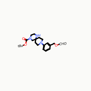 CC(C)(C)OC(=O)N1CCNC2(CCN(c3cccc(COC=O)c3)CC2)C1